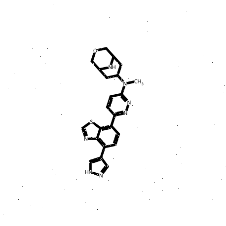 CN(c1ccc(-c2ccc(-c3cn[nH]c3)c3ncsc23)nn1)C1CC2COCC(C1)N2